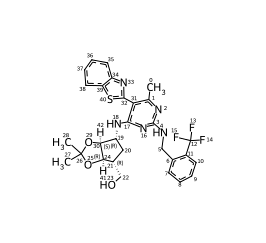 Cc1nc(NCc2ccccc2C(F)(F)F)nc(N[C@@H]2C[C@H](CO)[C@H]3OC(C)(C)O[C@H]32)c1-c1nc2ccccc2s1